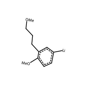 [Li][c]1ccc(OC)c(CCCOC)c1